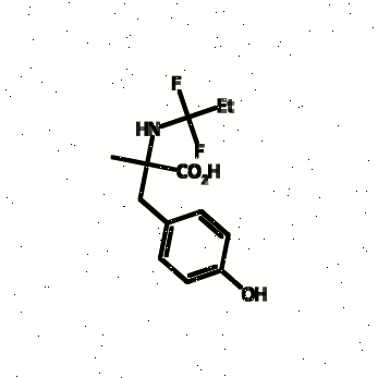 CCC(F)(F)NC(C)(Cc1ccc(O)cc1)C(=O)O